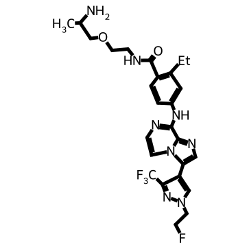 CCc1cc(Nc2nccn3c(-c4cn(CCF)nc4C(F)(F)F)cnc23)ccc1C(=O)NCCOCC(C)N